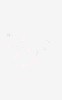 CCO[O-].O=S(=O)([O-])[O-].[Na+].[Na+].[Na+]